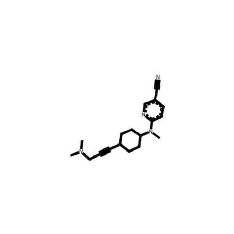 CN(C)CC#CC1CCC(N(C)c2ccc(C#N)cn2)CC1